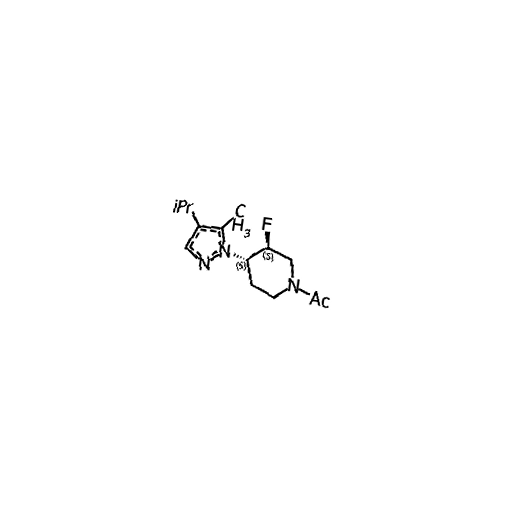 CC(=O)N1CC[C@H](n2ncc(C(C)C)c2C)[C@@H](F)C1